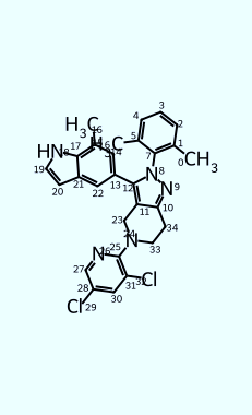 Cc1cccc(C)c1-n1nc2c(c1-c1cc(C)c3[nH]ccc3c1)CN(c1ncc(Cl)cc1Cl)CC2